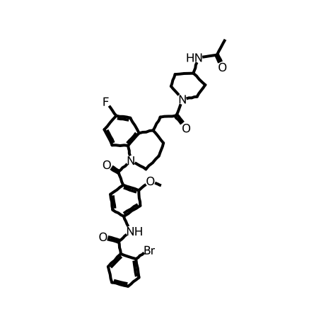 COc1cc(NC(=O)c2ccccc2Br)ccc1C(=O)N1CCCC(CC(=O)N2CCC(NC(C)=O)CC2)c2cc(F)ccc21